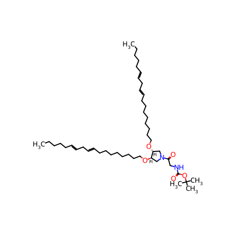 CCCCCC=CCC=CCCCCCCCCO[C@@H]1CN(C(=O)CNC(=O)OC(C)(C)C)C[C@H]1OCCCCCCCCC=CCC=CCCCCC